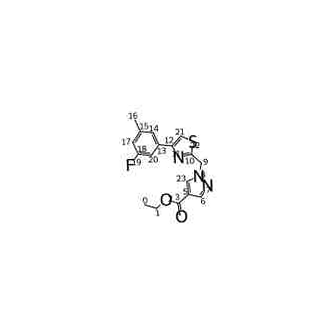 CCOC(=O)c1cnn(Cc2nc(-c3cc(C)cc(F)c3)cs2)c1